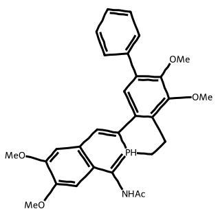 COc1cc2c(cc1OC)C(NC(C)=O)=[PH]1CCc3c(cc(-c4ccccc4)c(OC)c3OC)C1=C2